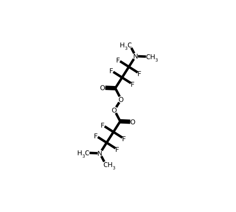 CN(C)C(F)(F)C(F)(F)C(=O)OOC(=O)C(F)(F)C(F)(F)N(C)C